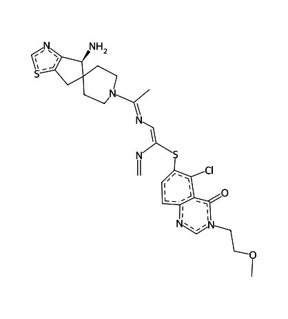 C=N/C(=C\N=C(/C)N1CCC2(CC1)Cc1scnc1[C@H]2N)Sc1ccc2ncn(CCOC)c(=O)c2c1Cl